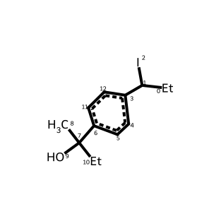 CCC(I)c1ccc(C(C)(O)CC)cc1